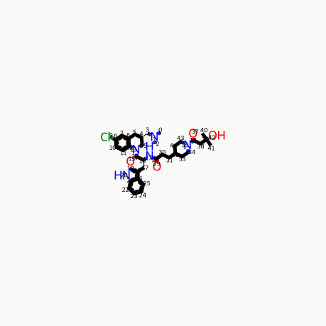 CN(C)C[C@H]1Cc2cc(Cl)ccc2N(C(=O)[C@@H](Cc2c[nH]c3ccccc23)NC(=O)CCC2CCN(C(=O)CC(C)(C)O)CC2)C1